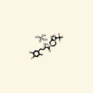 N[C@H](CCc1cc(F)c(F)cc1F)C(=O)N1CCn2c(nnc2C(F)(F)F)C1.O=P(O)(O)O